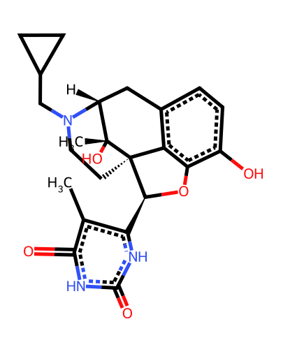 Cc1c([C@@H]2Oc3c(O)ccc4c3[C@@]23CCN(CC2CC2)[C@H](C4)[C@@]3(C)O)[nH]c(=O)[nH]c1=O